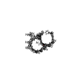 CC[C@H](C)[C@@H]1NC(=O)C2CCC(CC2)NC(=O)CCCCNC(=O)[C@@H]2CCCN2C(=O)[C@H]([C@@H](C)CC)NC(=O)[C@H]2NC(=O)[C@H]([C@@H](C)CC)NC(=O)[C@@H]3CCCN3C(=O)[C@@H]3CCCN3C(=O)[C@H](CC(C)(C)C)NC(=O)[C@H](CO)NC(=O)[C@H](CCCNC(=N)N)NC(=O)[C@H](CO)NC(=O)[C@@H](NC1=O)SSC2(C)C